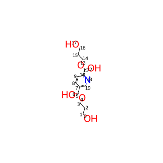 OCCCOC(O)c1ccc(C(O)OCCCO)nc1